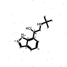 CC(C)(C)NC[C@H](O)c1cccc2cn[nH]c12